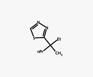 CCCC(C)(CC)c1nncs1